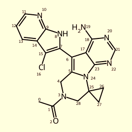 CC(=O)N1Cc2c(-c3[nH]c4ncccc4c3Cl)c3c(N)ncnc3n2C2(CC2)C1